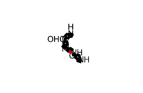 O=CN(c1ccc2[nH]ccc2c1)c1ccc2c(cnn2-c2ccc(NC(=O)c3ccc4[nH]ccc4c3)cc2)c1